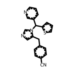 N#Cc1ccc(Cc2cncn2C(c2cccnc2)c2cccs2)cc1